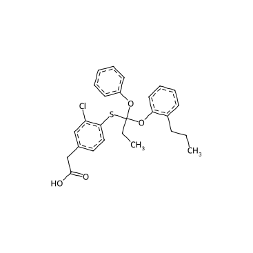 CCCc1ccccc1OC(CC)(Oc1ccccc1)Sc1ccc(CC(=O)O)cc1Cl